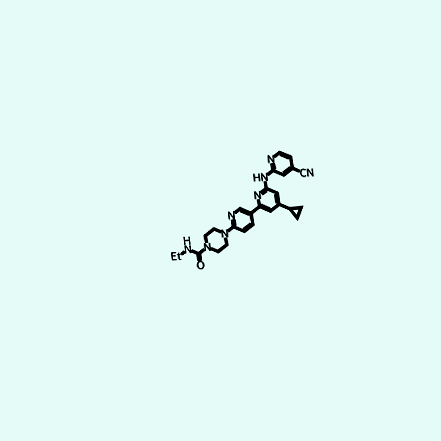 CCNC(=O)N1CCN(c2ccc(-c3cc(C4CC4)cc(Nc4cc(C#N)ccn4)n3)cn2)CC1